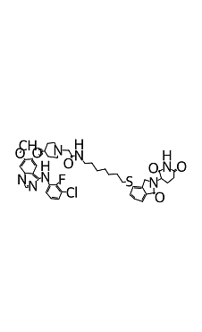 COc1cc2ncnc(Nc3cccc(Cl)c3F)c2cc1OC1CCN(CC(=O)NCCCCCCCSc2cccc3c2CN(C2CCC(=O)NC2=O)C3=O)CC1